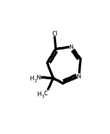 CC1(N)C=NC=NC(Cl)=C1